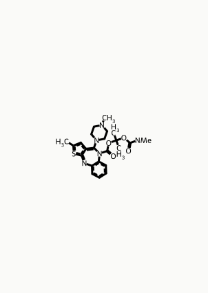 CNC(=O)OC(C)(C)OC(=O)N1C(N2CCN(C)CC2)=c2cc(C)sc2=Nc2ccccc21